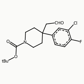 CC(C)(C)OC(=O)N1CCC(CC=O)(c2ccc(F)c(Cl)c2)CC1